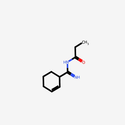 CCC(=O)NC(=N)C1C=CCCC1